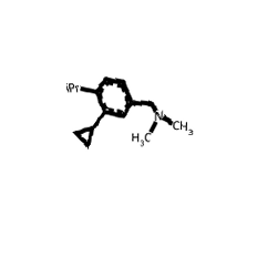 CC(C)c1ccc(CN(C)C)cc1C1CC1